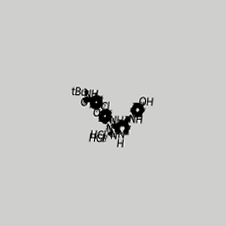 CC(C)(C)NC(=O)c1cccc(Oc2ccc(Nc3ncnc4c3C=C(CNC3CCC(O)CC3)CCN4)cc2Cl)c1.Cl.Cl